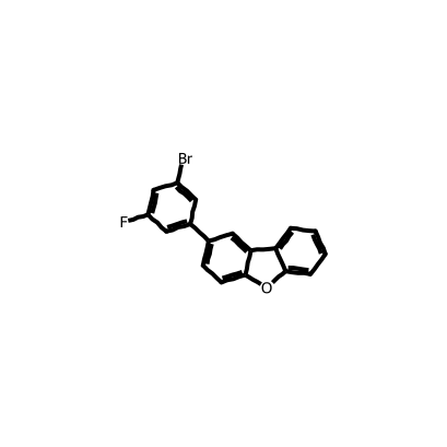 Fc1cc(Br)cc(-c2ccc3oc4ccccc4c3c2)c1